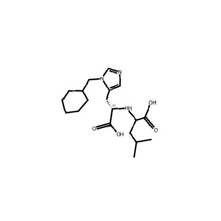 CC(C)CC(N[C@@H](Cc1cncn1CC1CCCCC1)C(=O)O)C(=O)O